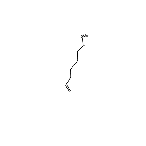 C=CCCCC[CH]SC